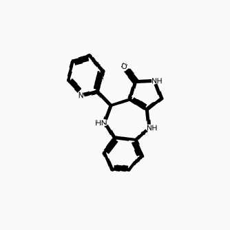 O=C1NCC2=C1C(c1ccccn1)Nc1ccccc1N2